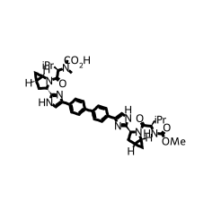 COC(=O)N[C@@H](C(=O)N1[C@@H]2C[C@@H]2C[C@H]1c1nc(-c2ccc(-c3ccc(-c4c[nH]c([C@@H]5C[C@H]6C[C@H]6N5C(=O)[C@@H](C(C)C)N(C)C(=O)O)n4)cc3)cc2)c[nH]1)C(C)C